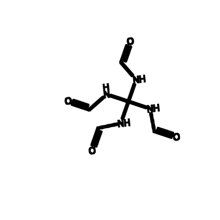 O=CNC(NC=O)(NC=O)NC=O